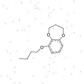 CCCCOc1cccc2c1OCCCO2